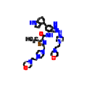 C1CN(CCN2CCOCC2)CCN1.O=C(Nc1cc(-c2cccc3[nH]ccc23)cc2[nH]ncc12)c1nc(CN2CCN(CCN3CCOCC3)CC2)sc1C(=O)O